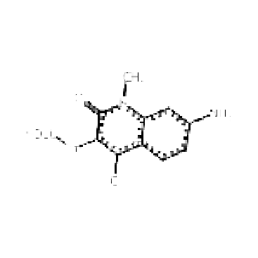 CCCCCCCCOc1c(O)c2ccc(N)cc2n(C)c1=O